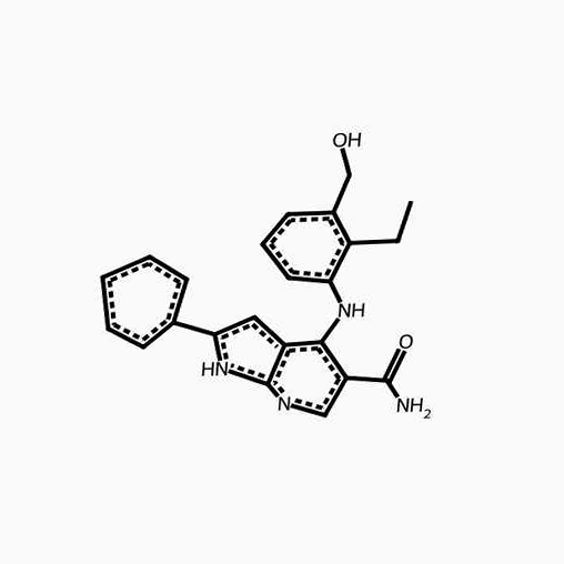 CCc1c(CO)cccc1Nc1c(C(N)=O)cnc2[nH]c(-c3ccccc3)cc12